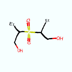 CCC(CO)S(=O)(=O)C(CC)CO